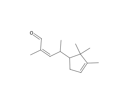 CC(C=O)=CC(C)C1CC=C(C)C1(C)C